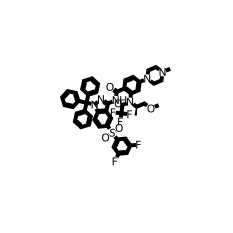 COC[C@@H](C)N(C(=O)C(F)(F)F)c1cc(N2CCN(C)CC2)ccc1C(=O)Nc1nn(C(c2ccccc2)(c2ccccc2)c2ccccc2)c2ccc(S(=O)(=O)c3cc(F)cc(F)c3)cc12